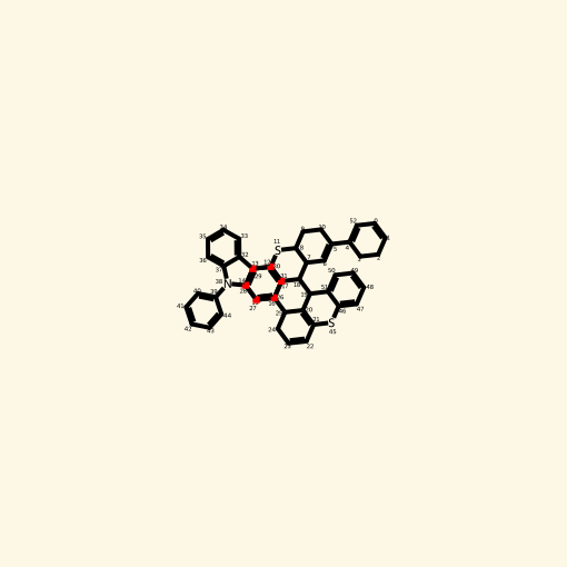 C1=CCCC(C2=CC3C(CC2)SC2C=CC=CC2C3C2C3=C(C=CCC3C3=CC4C(C=C3)c3ccccc3N4c3ccccc3)Sc3ccccc32)=C1